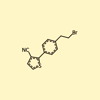 N#Cc1ccsc1-c1ccc(CCBr)cc1